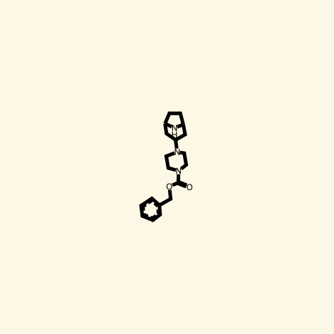 O=C(OCc1ccccc1)N1CCN(C2CC3CCC(C2)N3)CC1